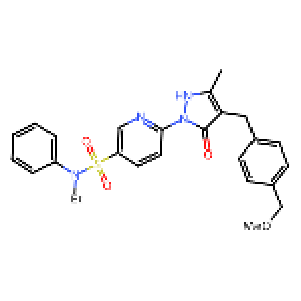 CCN(c1ccccc1)S(=O)(=O)c1ccc(-n2[nH]c(C)c(Cc3ccc(COC)cc3)c2=O)nc1